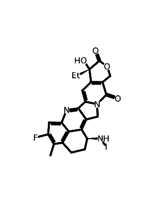 CC[C@@]1(O)C(=O)OCc2c1cc1n(c2=O)Cc2c-1nc1cc(F)c(C)c3c1c2[C@@H](NI)CC3